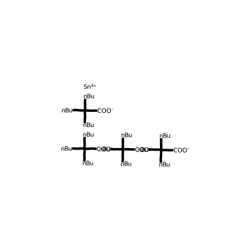 CCCCC(CCCC)(CCCC)C(=O)[O-].CCCCC(CCCC)(CCCC)C(=O)[O-].CCCCC(CCCC)(CCCC)C(=O)[O-].CCCCC(CCCC)(CCCC)C(=O)[O-].[Sn+4]